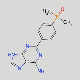 CP(C)(=O)c1ccc(-c2nc(N)c3nc[nH]c3n2)cc1